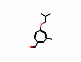 CC1=C=C(OCC(C)C)C=CC(C=O)=C1